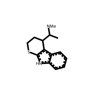 CNC(C)C1CCSc2[nH]c3ccccc3c21